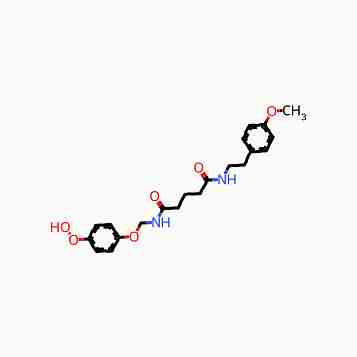 COc1ccc(CCNC(=O)CCCC(=O)NCOc2ccc(OO)cc2)cc1